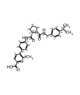 Cc1nc(C(=O)O)ccc1-c1ccc(NC(=O)[C@H]2CCCN2C(=O)NCc2ccc(C(C)C)cc2)cc1